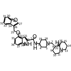 O=C(NC1CCN(C[C@@H]2CCCN3CCCC[C@H]23)CC1)c1cc2c(OCc3coc4ccccc34)cccc2[nH]1